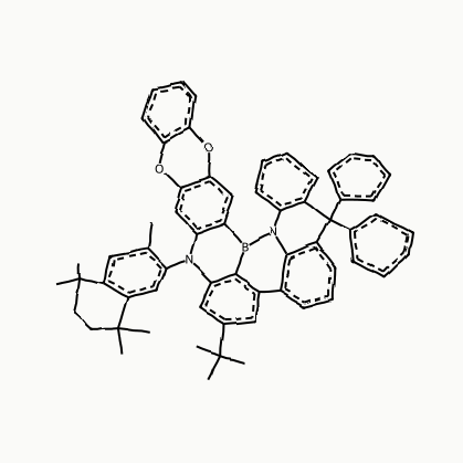 Cc1cc2c(cc1N1c3cc4c(cc3B3c5c(cc(C(C)(C)C)cc51)-c1cccc5c1N3c1ccccc1C5(c1ccccc1)c1ccccc1)Oc1ccccc1O4)C(C)(C)CCC2(C)C